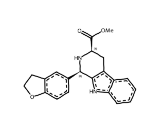 COC(=O)[C@H]1Cc2c([nH]c3ccccc23)[C@@H](c2ccc3c(c2)CCO3)N1